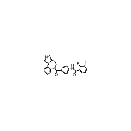 O=C(Nc1ccc(C(=O)N2CCc3nncn3-c3ccccc32)cc1)c1cccc(F)c1F